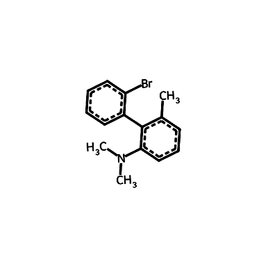 Cc1cccc(N(C)C)c1-c1ccccc1Br